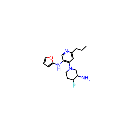 CCCc1cc(N2CCC(F)C(N)C2)c(Nc2ccco2)cn1